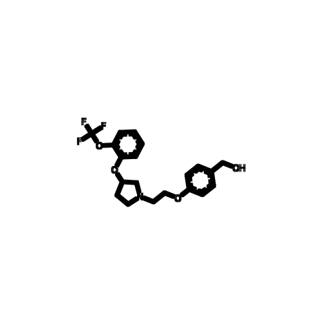 OCc1ccc(OCCN2CCC(Oc3ccccc3OC(F)(F)F)C2)cc1